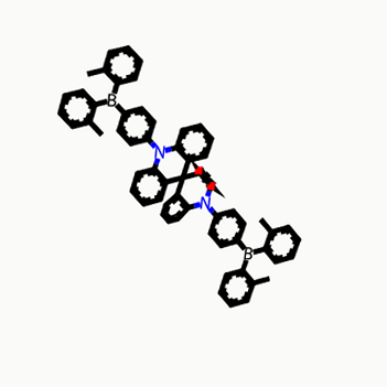 Cc1ccccc1B(c1ccc(N2c3ccccc3C3(c4ccccc42)c2ccccc2N(c2ccc(B(c4ccccc4C)c4ccccc4C)cc2)c2ccccc23)cc1)c1ccccc1C